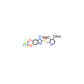 COc1ccnc(C[S+]([O-])c2nc3cc4c(cc3[nH]2)OC(F)(F)C(F)(Cl)O4)c1OC